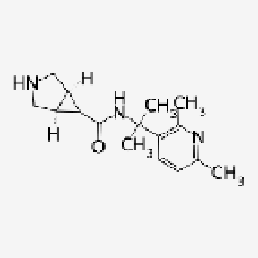 Cc1ccc(C(C)(C)NC(=O)C2[C@H]3CNC[C@@H]23)c(C)n1